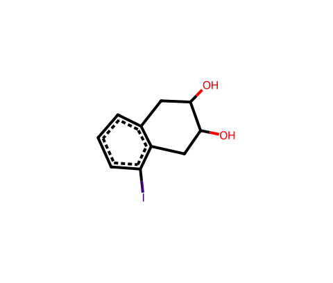 OC1Cc2cccc(I)c2CC1O